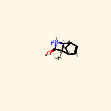 O=C1NC2C3C=CC(C3)[C@@H]12